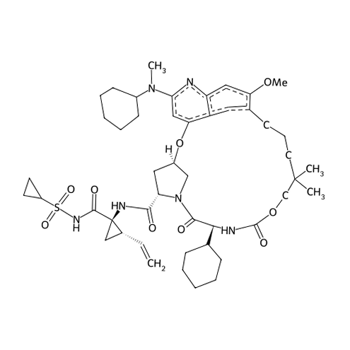 C=C[C@@H]1C[C@]1(NC(=O)[C@@H]1C[C@@H]2CN1C(=O)[C@H](C1CCCCC1)NC(=O)OCC(C)(C)CCCc1cc3c(cc(N(C)C4CCCCC4)nc3cc1OC)O2)C(=O)NS(=O)(=O)C1CC1